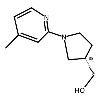 Cc1ccnc(N2CC[C@H](CO)C2)c1